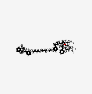 C[C@@H](NS(=O)(=O)c1ccccc1[N+](=O)[O-])c1cccc(OCCCCCOCCCOCCOc2cccc(C(=O)c3cnc([C@@H]4CCCN4C(=O)[C@@H](NC(=O)[C@H](C)N(C)C(=O)OC(C)(C)C)C4CCCCC4)s3)c2)c1